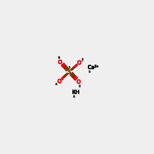 O=S(=O)([O-])[O-].[Ca+2].[KH]